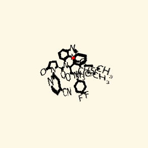 Cc1ccccc1C(C(=O)NC1CCC(F)(F)CC1)N(C(=O)[C@@H]1CCC(=O)N1c1cc(C#N)ccn1)c1cccc2ncn(COCC[Si](C)(C)C)c12